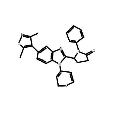 Cc1noc(C)c1-c1ccc2c(c1)nc(C1CCC(=O)N1c1ccccc1)n2C1=CCSC=C1